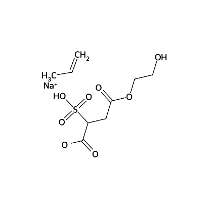 C=CC.O=C(CC(C(=O)[O-])S(=O)(=O)O)OCCO.[Na+]